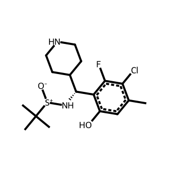 Cc1cc(O)c([C@H](N[S+]([O-])C(C)(C)C)C2CCNCC2)c(F)c1Cl